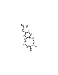 CC1CCc2ccc(OC(F)F)cc2OCCC1=O